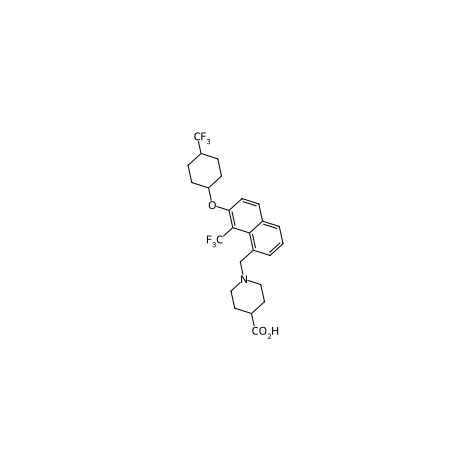 O=C(O)C1CCN(Cc2cccc3ccc(OC4CCC(C(F)(F)F)CC4)c(C(F)(F)F)c23)CC1